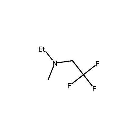 [CH2]CN(C)CC(F)(F)F